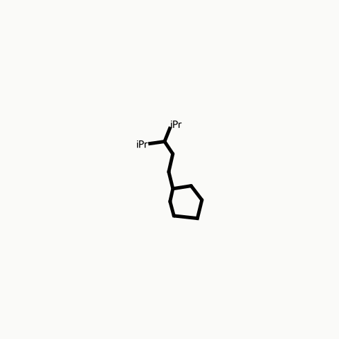 CC(C)C(CCC1CCCCC1)C(C)C